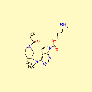 C[C@@H]1CCN(C(=O)CC#N)CC1N(C)c1ncnc2c1ccn2C(=O)OCCCN